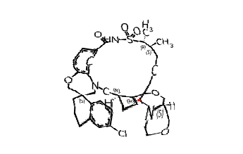 C[C@@H]1[C@@H](C)CCCC2(CN3CCOC[C@H]3CO2)[C@@H]2CC[C@H]2CN2C[C@@]3(CCCc4cc(Cl)ccc43)COc3ccc(cc32)C(=O)NS1(=O)=O